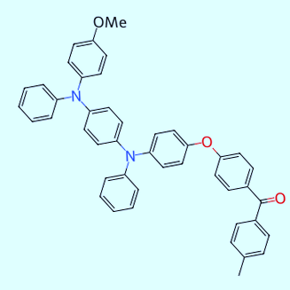 COc1ccc(N(c2ccccc2)c2ccc(N(c3ccccc3)c3ccc(Oc4ccc(C(=O)c5ccc(C)cc5)cc4)cc3)cc2)cc1